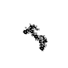 CN[C@@H](C)C(=O)N[C@H](C(=O)N1C[C@@H](NC(=O)c2ccc(C(=O)N[C@H]3C[C@@H](C(=O)N[C@@H](C)c4ccccc4)N(C(=O)[C@@H](NC(=O)[C@H](C)NC)C(C)(C)C)C3)cc2)C[C@H]1C(=O)N[C@@H](C)c1ccccc1)C(C)(C)C